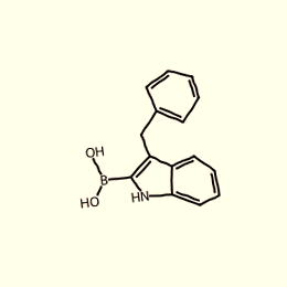 OB(O)c1[nH]c2ccccc2c1Cc1ccccc1